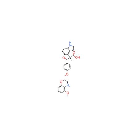 COc1cccc2c1N(C)C[C@@H](COc1ccc(C(=O)C(C)(C(=O)O)c3cccc4[nH]ccc34)cc1)O2